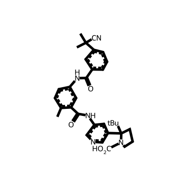 Cc1ccc(NC(=O)c2cccc(C(C)(C)C#N)c2)cc1C(=O)Nc1cncc(C2(C(C)(C)C)CCCN2C(=O)O)c1